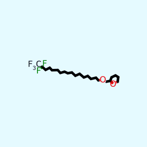 FC(F)(F)C(F)(F)CCCCCCCCCCCCCCCOCC1CCCCO1